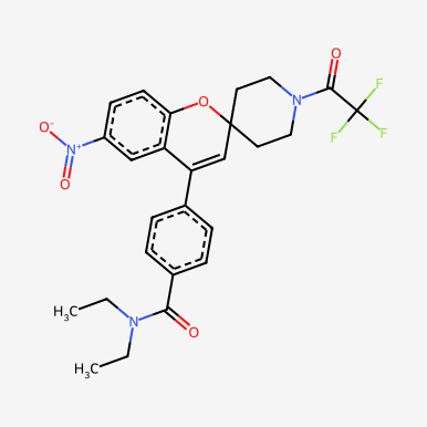 CCN(CC)C(=O)c1ccc(C2=CC3(CCN(C(=O)C(F)(F)F)CC3)Oc3ccc([N+](=O)[O-])cc32)cc1